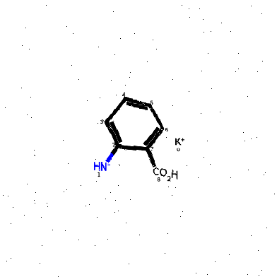 [K+].[NH-]c1ccccc1C(=O)O